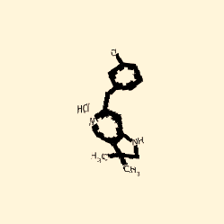 CC1(C)CNc2cc(Cc3cccc(Cl)c3)ncc21.Cl